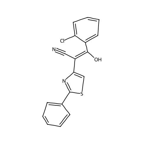 N#CC(=C(O)c1ccccc1Cl)c1csc(-c2ccccc2)n1